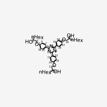 CCCCCCC(O)COc1ccc(-c2nc(-c3ccc(OCC(O)CCCCCC)cc3)nc(-c3ccc(OCC(O)CCCCCC)cc3)n2)cc1